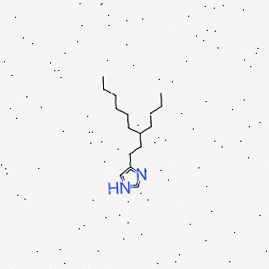 CCCCCCC(CCCC)CCc1c[nH]cn1